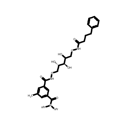 CCCN(CCC)C(=O)c1cc(C)cc(C(=O)NOC[C@H](O)[C@H](O)C(O)CONC(=O)CCCc2ccccc2)c1